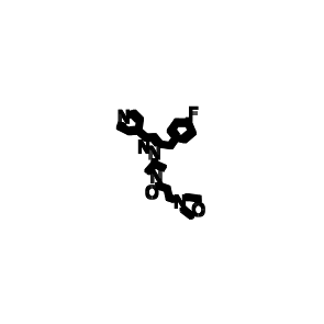 O=C(CCN1CCOCC1)N1CC(n2nc(-c3ccncc3)cc2Cc2ccc(F)cc2)C1